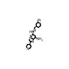 CC(C)c1cccc(/C=N/Nc2cc(N)c3nc(-c4ccncc4)cn3n2)c1